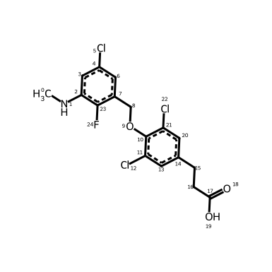 CNc1cc(Cl)cc(COc2c(Cl)cc(CCC(=O)O)cc2Cl)c1F